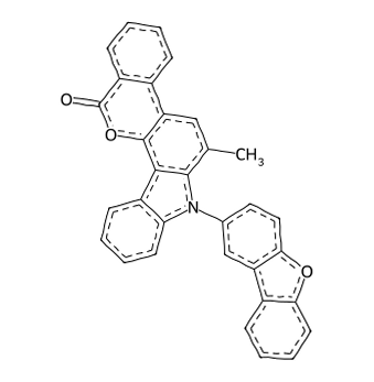 Cc1cc2c3ccccc3c(=O)oc2c2c3ccccc3n(-c3ccc4oc5ccccc5c4c3)c12